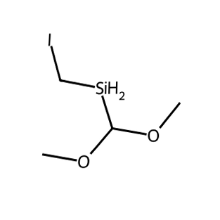 COC(OC)[SiH2]CI